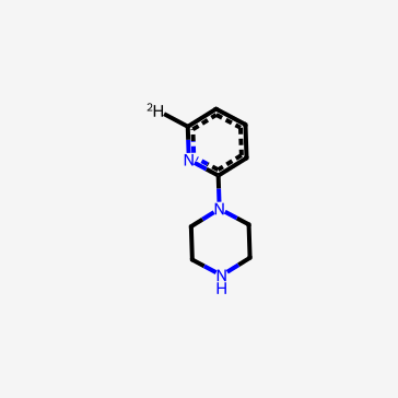 [2H]c1cccc(N2CCNCC2)n1